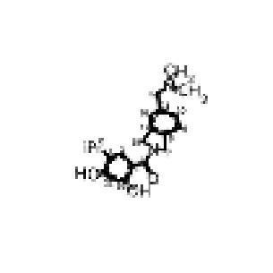 CC(C)c1cc(C(=O)N2Cc3ccc(CN(C)C)cc3C2)c(O)cc1O